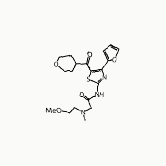 COCCN(C)CC(=O)Nc1nc(-c2ccco2)c(C(=O)C2CCOCC2)s1